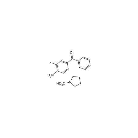 Cc1cc(C(=O)c2ccccc2)ccc1[N+](=O)[O-].O=C(O)N1CCCC1